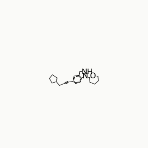 C(#Cc1ccc2c(c1)CNN2C1CCCCO1)CC1CCCC1